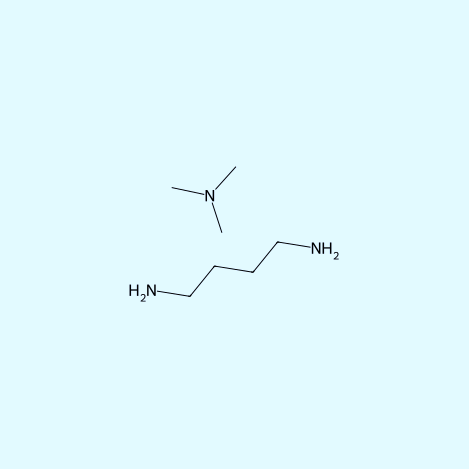 CN(C)C.NCCCCN